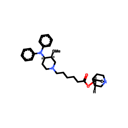 CO[C@H]1CN(CCCCCC(=O)O[C@H]2CN3CCC2CC3)CC[C@H]1N(c1ccccc1)c1ccccc1